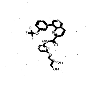 O=C(Nc1cccc(OC[C@@H](O)CO)n1)c1ccc2cncc(-c3cccc(OC(F)(F)F)c3)c2n1